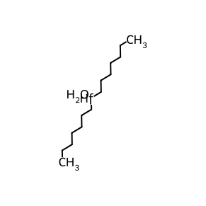 CCCCCC[CH2][Hf][CH2]CCCCCC.O